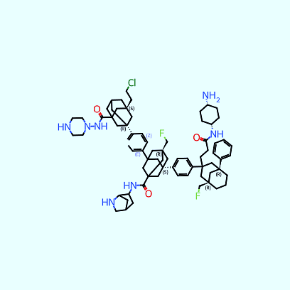 C=C(/C=C\C(=C/C)C12CC3(C(=O)NC4CC5CNC4C5)C[C@](CF)(C1)C[C@@](c1ccc(C4(CCC(=O)N[C@H]5CC[C@@H](N)CC5)C[C@@]5(CF)CCC[C@@](c6ccccc6)(C4)C5)cc1)(C3)C2)[C@]12CC3CC(C(=O)NN4CCNCC4)(C[C@](CCCl)(C3)C1)C2